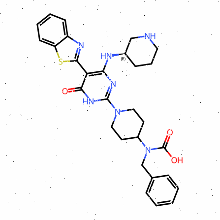 O=C(O)N(Cc1ccccc1)C1CCN(c2nc(N[C@@H]3CCCNC3)c(-c3nc4ccccc4s3)c(=O)[nH]2)CC1